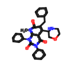 Cn1c(=O)c(Cc2ccccc2)c(C2COCCN2)c2c(=O)n(-c3ccccc3)c(=O)n(-c3ccccc3)c21